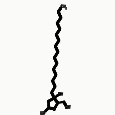 CCCCCCCCCCCCCCCC[C@@]1(O)CC(O)O[C@@H]1CO